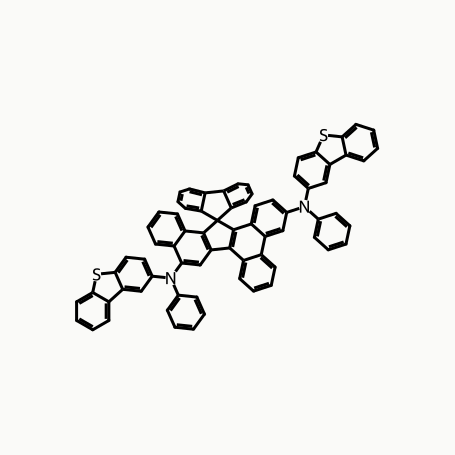 c1ccc(N(c2ccc3sc4ccccc4c3c2)c2ccc3c4c(c5ccccc5c3c2)-c2cc(N(c3ccccc3)c3ccc5sc6ccccc6c5c3)c3ccccc3c2C42c3ccccc3-c3ccccc32)cc1